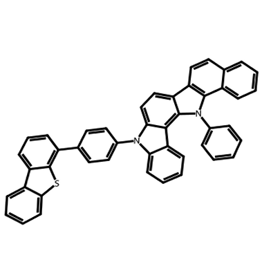 c1ccc(-n2c3c4ccccc4ccc3c3ccc4c(c5ccccc5n4-c4ccc(-c5cccc6c5sc5ccccc56)cc4)c32)cc1